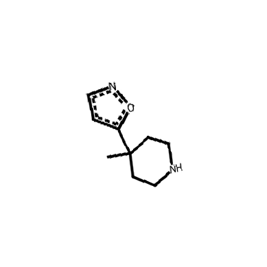 CC1(c2ccno2)CCNCC1